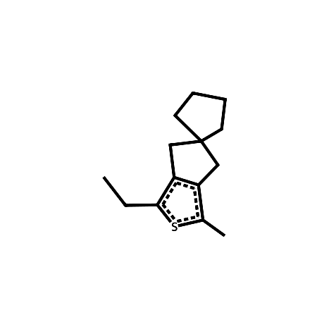 CCc1sc(C)c2c1CC1(CCCC1)C2